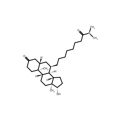 CN(C)C(=O)CCCCCCC[C@@H]1C[C@H]2CC(=O)CC[C@]2(C)[C@H]2CC[C@]3(C)[C@@H](O)CC[C@H]3[C@H]12